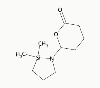 C[Si]1(C)CCCN1C1CCCC(=O)O1